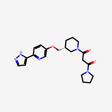 O=C(CC(=O)N1CCC[C@@H](COc2ccc(-c3ccn[nH]3)nc2)C1)N1CCCC1